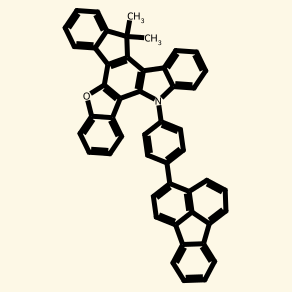 CC1(C)c2ccccc2-c2c1c1c3ccccc3n(-c3ccc(-c4ccc5c6c(cccc46)-c4ccccc4-5)cc3)c1c1c2oc2ccccc21